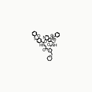 C[C@@H](NC(=O)[C@@H]1CC(CN2CCCCC2)CN1C(=O)CNC(=O)c1ccc2c(c1)Oc1ccccc1S2)c1cc2cnccc2n1S(=O)(=O)c1ccccc1